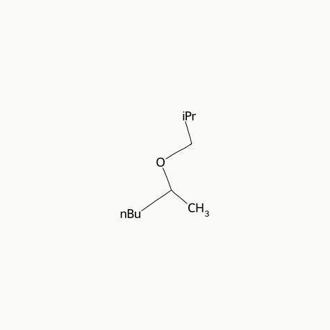 [CH2]CCCC(C)OCC(C)C